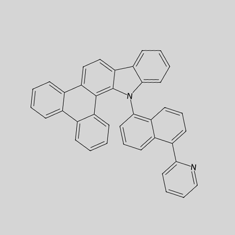 c1ccc(-c2cccc3c(-n4c5ccccc5c5ccc6c7ccccc7c7ccccc7c6c54)cccc23)nc1